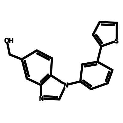 OCc1ccc2c(c1)ncn2-c1cccc(-c2cccs2)c1